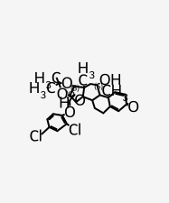 CC1(C)O[C@H]2CC3C4CCC5=CC(=O)C=CC5(C)C4[C@@H](O)CC3(C)[C@]2(C(=O)COc2ccc(Cl)cc2Cl)O1